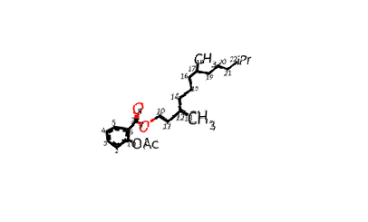 CC(=O)Oc1ccccc1C(=O)OCCC(C)CCCC(C)CCCC(C)C